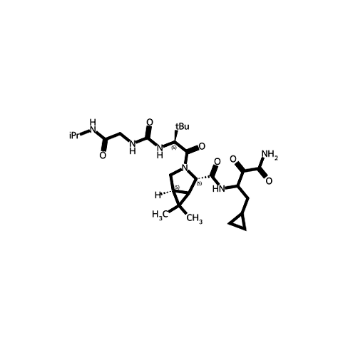 CC(C)NC(=O)CNC(=O)N[C@H](C(=O)N1C[C@H]2C([C@H]1C(=O)NC(CC1CC1)C(=O)C(N)=O)C2(C)C)C(C)(C)C